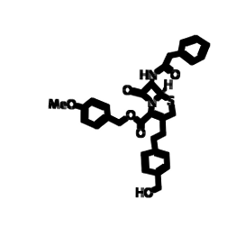 COc1ccc(COC(=O)C2=C(CCc3ccc(CO)cc3)CS[C@@H]3[C@H](NC(=O)Cc4ccccc4)C(=O)N23)cc1